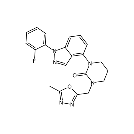 Cc1nnc(CN2CCCN(c3cccc4c3cnn4-c3ccccc3F)C2=O)o1